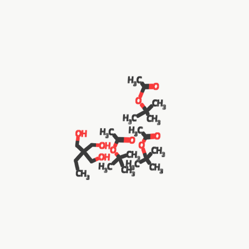 CC(=O)OC(C)(C)C.CC(=O)OC(C)(C)C.CC(=O)OC(C)(C)C.CCC(CO)(CO)CO